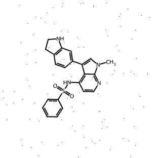 Cn1cc(-c2ccc3c(c2)NCC3)c2c(NS(=O)(=O)c3ccccc3)ccnc21